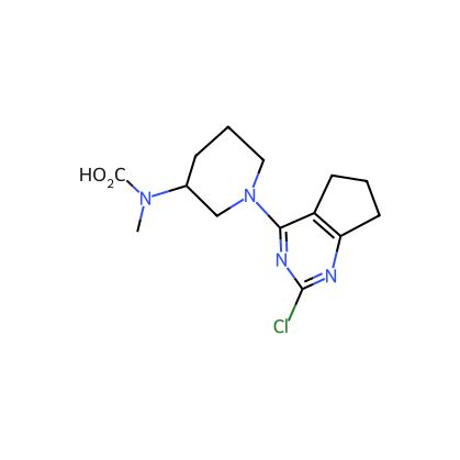 CN(C(=O)O)C1CCCN(c2nc(Cl)nc3c2CCC3)C1